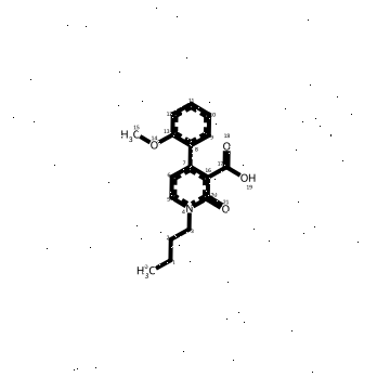 CCCCn1ccc(-c2ccccc2OC)c(C(=O)O)c1=O